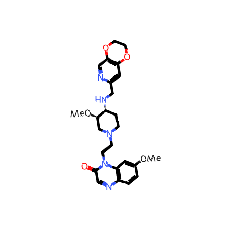 COc1ccc2ncc(=O)n(CCN3CC[C@@H](NCc4cc5c(cn4)OCCO5)[C@H](OC)C3)c2c1